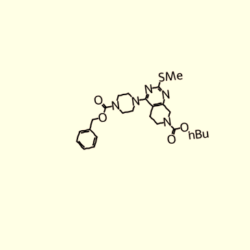 CCCCOC(=O)N1CCc2c(nc(SC)nc2N2CCN(C(=O)OCc3ccccc3)CC2)C1